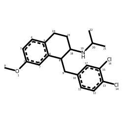 COc1ccc2c(c1)C(Cc1ccc(Cl)c(Cl)c1)C(NC(C)C)CC2